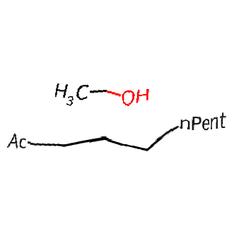 CCCCCCCCC(C)=O.CO